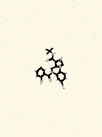 CC(C)(C)OC(=O)c1ncn2c1CN(C(=O)c1ccccc1Cl)c1cc(F)ccc1-2